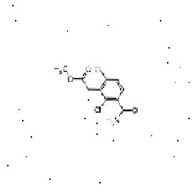 COC(=O)Cc1c(Cl)ccc(C(N)=O)c1Cl